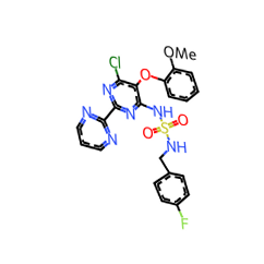 COc1ccccc1Oc1c(Cl)nc(-c2ncccn2)nc1NS(=O)(=O)NCc1ccc(F)cc1